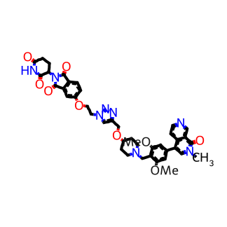 COc1cc(-c2cn(C)c(=O)c3cnccc23)cc(OC)c1CN1CCC(OCc2cn(CCOc3ccc4c(c3)C(=O)N(C3CCC(=O)NC3=O)C4=O)nn2)CC1